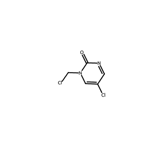 O=c1ncc(Cl)cn1CCl